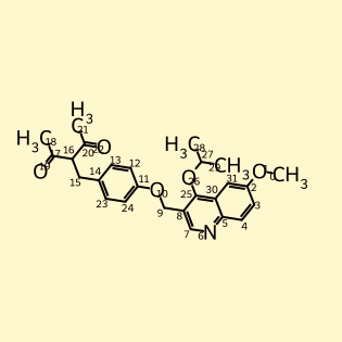 COc1ccc2ncc(COc3ccc(CC(C(C)=O)C(C)=O)cc3)c(OC(C)C)c2c1